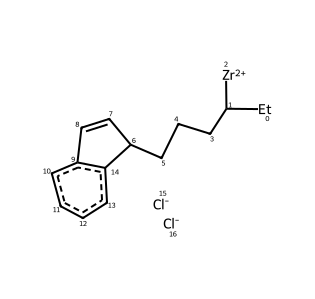 CC[CH]([Zr+2])CCCC1C=Cc2ccccc21.[Cl-].[Cl-]